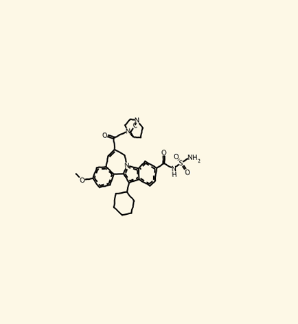 COc1ccc2c(c1)C=C(C(=O)N1CCN3CCC1CC3)Cn1c-2c(C2CCCCC2)c2ccc(C(=O)NS(N)(=O)=O)cc21